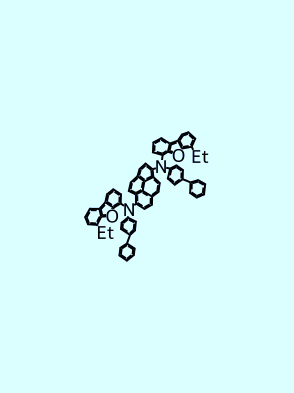 CCc1cccc2c1oc1c(N(c3ccc(-c4ccccc4)cc3)c3ccc4ccc5c(N(c6ccc(-c7ccccc7)cc6)c6cccc7c6oc6c(CC)cccc67)ccc6ccc3c4c65)cccc12